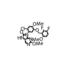 COc1ncc2[nH]c(=O)n(-c3cc(OCc4c(OC)ccc(F)c4F)c(OC)cc3Cl)c2n1